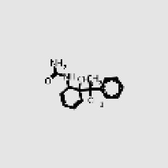 CC(C)(c1ccccc1)C1(C)C=CC=CC1NC(N)=O